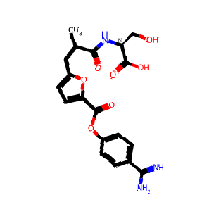 CC(Cc1ccc(C(=O)Oc2ccc(C(=N)N)cc2)o1)C(=O)N[C@@H](CO)C(=O)O